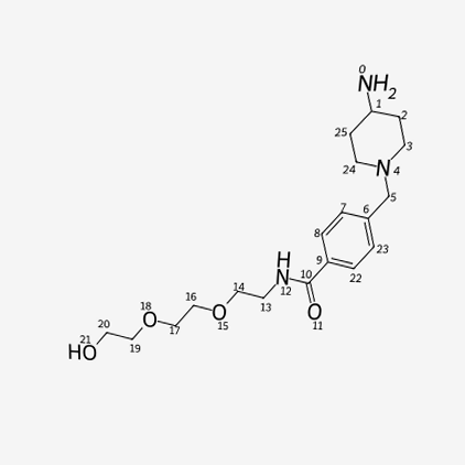 NC1CCN(Cc2ccc(C(=O)NCCOCCOCCO)cc2)CC1